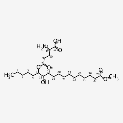 CCCCCC(OC(=O)CC[C@@H](N)C(=O)O)C(O)CCCCCCCCCCC(=O)OC